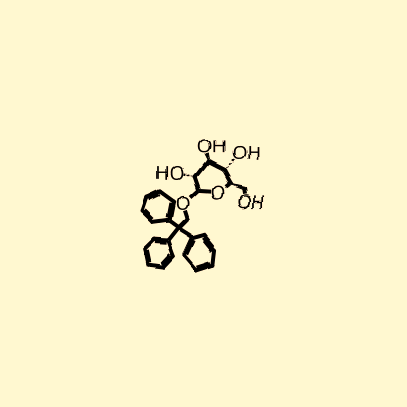 OC[C@H]1OC(OCC(c2ccccc2)(c2ccccc2)c2ccccc2)[C@H](O)[C@@H](O)[C@@H]1O